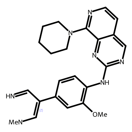 CN/C=C(\C=N)c1ccc(Nc2ncc3ccnc(N4CCCCC4)c3n2)c(OC)c1